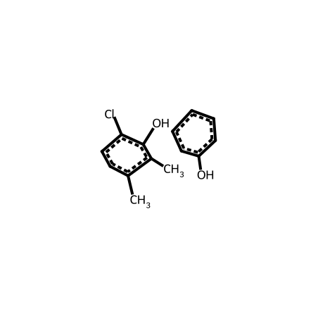 Cc1ccc(Cl)c(O)c1C.Oc1ccccc1